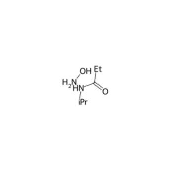 CCC(=O)NC(C)C.NO